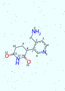 NCc1ccncc1C1CCC(=O)NC1=O